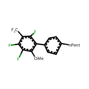 CCCCCc1ccc(-c2c(F)c(C(F)(F)F)c(F)c(F)c2OC)cc1